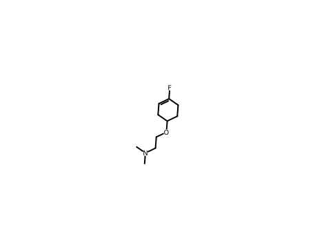 CN(C)CCOC1CC=C(F)CC1